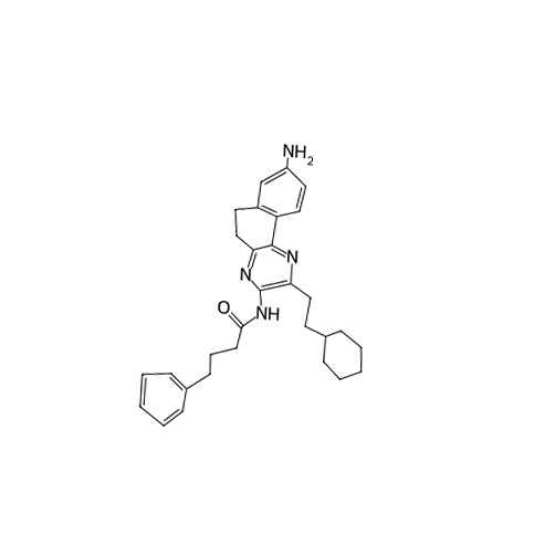 Nc1ccc2c(c1)CCc1nc(NC(=O)CCCc3ccccc3)c(CCC3CCCCC3)nc1-2